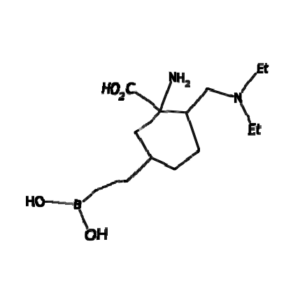 CCN(CC)CC1CCC(CCB(O)O)CC1(N)C(=O)O